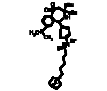 CCCCC1(CCCC)CS(=O)(=O)c2ccc(N(C)C)cc2C(c2ccc(NC(=S)CCCCC[N+]34CCC(CC3)CC4)cc2)N1.[Br-]